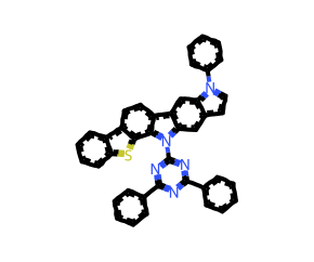 c1ccc(-c2nc(-c3ccccc3)nc(-n3c4cc5ccn(-c6ccccc6)c5cc4c4ccc5c6ccccc6sc5c43)n2)cc1